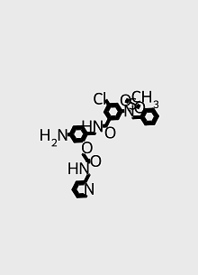 CS(=O)(=O)N(Cc1ccccc1)c1cc(Cl)cc(C(=O)NCc2ccc(N)cc2OCC(=O)NCc2ccccn2)c1